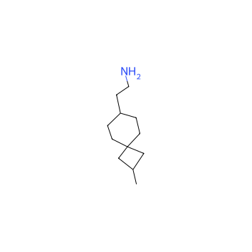 CC1CC2(CCC(CCN)CC2)C1